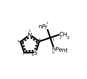 CCCCCC(C)(CCC)c1nccs1